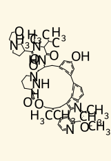 CCn1c(-c2cccnc2[C@H](C)OC)c2c3cc(ccc31)-c1cc(O)cc(c1)C[C@H](NC(=O)C(C(C)C)N(C)C(=O)C1CCN3CCOCC13)C(=O)N1CCC[C@H](N1)C(=O)OCC(C)(C)C2